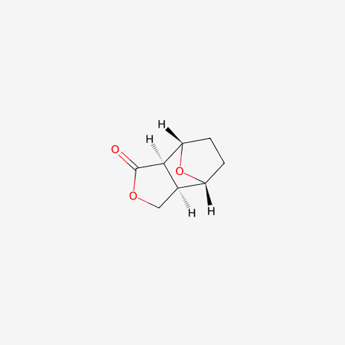 O=C1OC[C@H]2[C@@H]1[C@@H]1CC[C@H]2O1